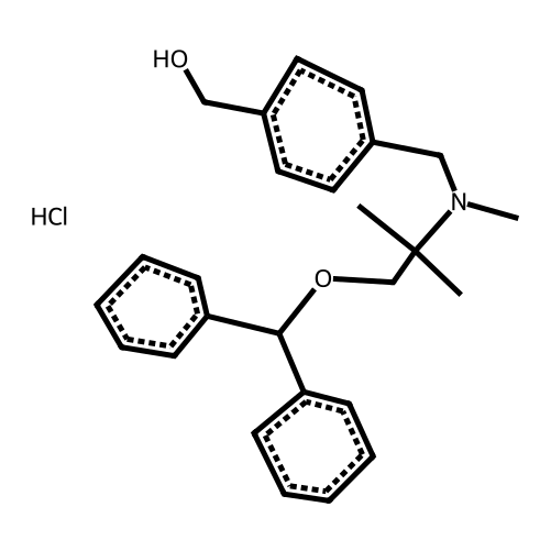 CN(Cc1ccc(CO)cc1)C(C)(C)COC(c1ccccc1)c1ccccc1.Cl